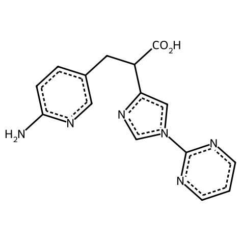 Nc1ccc(CC(C(=O)O)c2cn(-c3ncccn3)cn2)cn1